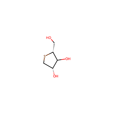 OC[C@H]1SC[C@@H](O)C1O